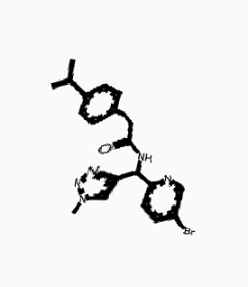 CC(C)c1ccc(CC(=O)NC(c2ccc(Br)cn2)c2cn(C)nn2)cc1